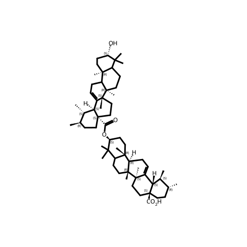 C[C@H]1[C@H](C)CC[C@]2(C(=O)O)CC[C@]3(C)C(=CC[C@@H]4[C@@]5(C)CC[C@H](OC(=O)[C@]67CC[C@@H](C)[C@H](C)[C@H]6C6=CCC8[C@@]9(C)CC[C@H](O)C(C)(C)C9CC[C@@]8(C)[C@]6(C)CC7)C(C)(C)C5CC[C@]43C)[C@H]12